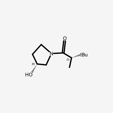 C[C@H](C(=O)N1CC[C@@H](O)C1)C(C)(C)C